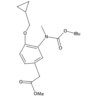 COC(=O)Cc1ccc(OCC2CC2)c(N(C)C(=O)OC(C)(C)C)c1